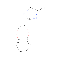 [2H][C@@H]1CNC(C2COc3ccccc3O2)=N1